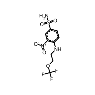 NS(=O)(=O)c1ccc(NCCOC(F)(F)F)c([N+](=O)[O-])c1